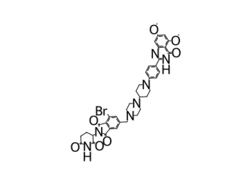 COc1cc(OC)c2c(=O)[nH]c(-c3ccc(N4CCC(N5CCN(Cc6cc(Br)c7c(c6)C(=O)N(C6CCC(=O)NC6=O)C7=O)CC5)CC4)cc3)nc2c1